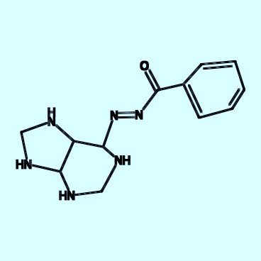 O=C(N=NC1NCNC2NCNC12)c1ccccc1